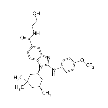 C[C@@H]1C[C@H](n2c(Nc3ccc(OC(F)(F)F)cc3)nc3cc(C(=O)NCCO)ccc32)CC(C)(C)C1